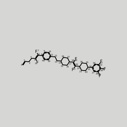 C=CCC/C(F)=C(\F)c1ccc(CCC2CCC(/C(F)=C(\F)C3CCC(c4cc(F)c(F)c(F)c4)CC3)CC2)cc1